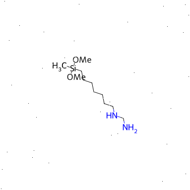 CO[Si](C)(CCCCCCCNCN)OC